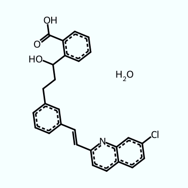 O.O=C(O)c1ccccc1C(O)CCc1cccc(C=Cc2ccc3ccc(Cl)cc3n2)c1